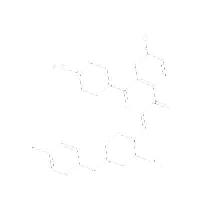 CC1CN(Cc2ccc(F)cc2)CCN1/C=C/C(=O)c1ccc(Cl)cc1C(=O)N1CCN(C)CC1